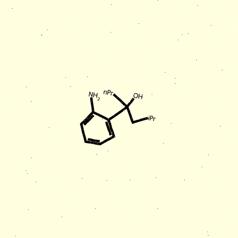 CCCC(O)(CC(C)C)c1ccccc1N